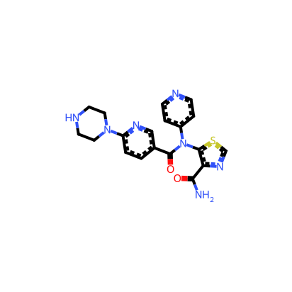 NC(=O)c1ncsc1N(C(=O)c1ccc(N2CCNCC2)nc1)c1ccncc1